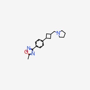 Cc1nc(-c2ccc(C3CC(CN4CCCC4)C3)cc2)no1